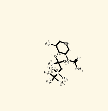 C[C@H]1CNC[C@@H](OC(N)=O)[C@@H]1OC(C)(C)C[Si](C)(C)C(C)(C)C